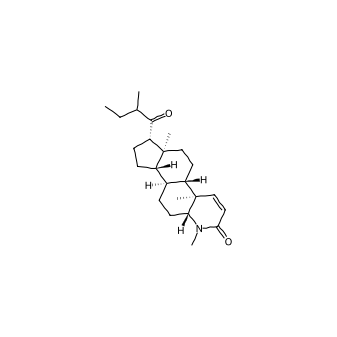 CCC(C)C(=O)[C@H]1CC[C@H]2[C@@H]3CC[C@H]4N(C)C(=O)C=C[C@]4(C)[C@H]3CC[C@]12C